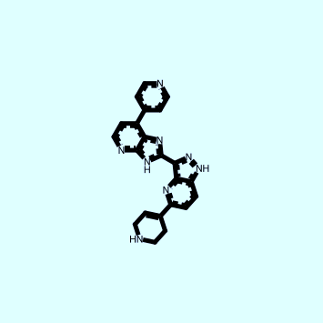 C1=C(c2ccc3[nH]nc(-c4nc5c(-c6ccncc6)ccnc5[nH]4)c3n2)CCNC1